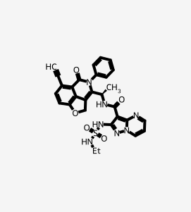 C#Cc1ccc2c3c(c([C@@H](C)NC(=O)c4c(NS(=O)(=O)NCC)nn5cccnc45)n(-c4ccccc4)c(=O)c13)CO2